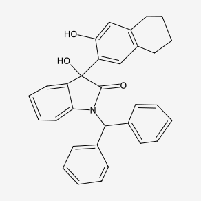 O=C1N(C(c2ccccc2)c2ccccc2)c2ccccc2C1(O)c1cc2c(cc1O)CCCC2